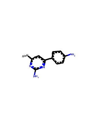 CNc1cc(-c2ccc(N)cc2)nc(N)n1